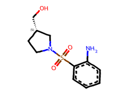 Nc1ccccc1S(=O)(=O)N1CC[C@H](CO)C1